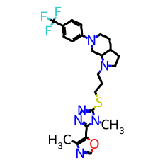 Cc1ncoc1-c1nnc(SCCCN2CCC3CCN(c4ccc(C(F)(F)F)cc4)CC32)n1C